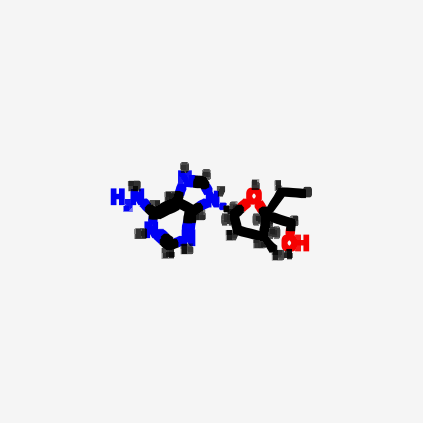 CC[C@]1(CO)O[C@@H](n2cnc3c(N)ncnc32)C[C@@H]1C